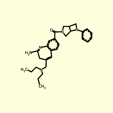 CCCN(CCC)CC1=Cc2ccc(C(=O)N3CC4CN(c5ccccc5)C4C3)cc2N=C(N)C1